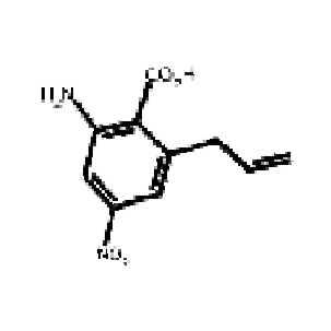 C=CCc1cc([N+](=O)[O-])cc(N)c1C(=O)O